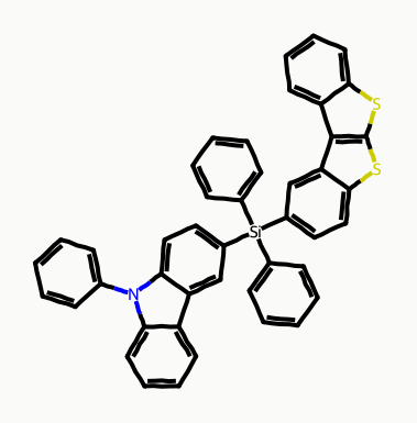 c1ccc(-n2c3ccccc3c3cc([Si](c4ccccc4)(c4ccccc4)c4ccc5sc6sc7ccccc7c6c5c4)ccc32)cc1